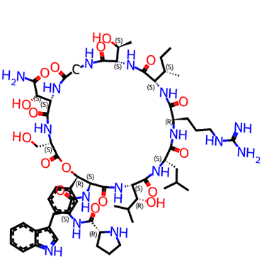 CC[C@H](C)[C@@H]1NC(=O)[C@@H](CCCNC(=N)N)NC(=O)[C@H](CC(C)C)NC(=O)[C@H]([C@H](O)C(C)C)NC(=O)[C@@H](NC(=O)[C@H](Cc2c[nH]c3ccccc23)NC(=O)[C@H]2CCCN2)[C@@H](c2ccccc2)OC(=O)[C@H](CO)NC(=O)[C@H]([C@H](O)C(N)=O)NC(=O)CNC(=O)[C@H]([C@H](C)O)NC1=O